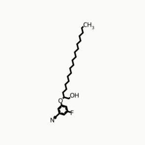 CCCCCCCCCCCCCCCCCCC(CO)Oc1cc(F)cc(C#N)c1